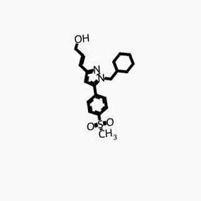 CS(=O)(=O)c1ccc(-c2cc(C=CCO)nn2CC2CCCCC2)cc1